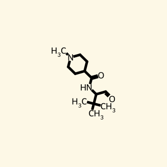 CN1CCC(C(=O)NC(C=O)C(C)(C)C)CC1